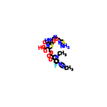 CCn1cc(C(=O)OCC2=C(C(=O)O)N3C(=O)[C@@H](NC(=O)/C=N\OCc4csc(N)n4)[C@H]3SC2)c(=O)c2cc(F)c(N3CCN(C)CC3)cc21